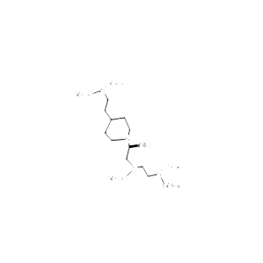 CCCCCCCCCN(CCCCCCCCC)CCC1CCN(C(=N)CN(CCCCCCCCC)CCN(CCCCCCCCC)CCCCCCCCC)CC1